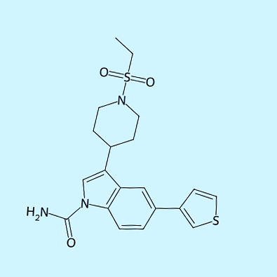 CCS(=O)(=O)N1CCC(c2cn(C(N)=O)c3ccc(-c4ccsc4)cc23)CC1